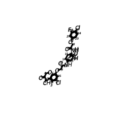 CN1C(=O)COc2c(OCC(=O)NC34CCC(NC(=O)COc5ccc(Cl)c(F)c5)(CC3)[C@@H](O)C4)cc(Cl)cc21